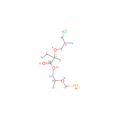 CCC(C)(OCC(C)CCl)C(=O)OCC(C)OCP